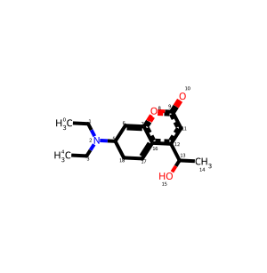 CCN(CC)C1C=c2oc(=O)cc(C(C)O)c2=CC1